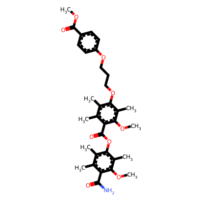 COC(=O)c1ccc(OCCCOc2c(C)c(C)c(C(=O)Oc3c(C)c(C)c(C(N)=O)c(OC)c3C)c(OC)c2C)cc1